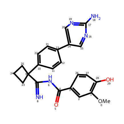 COc1cc(C(=O)NC(=N)C2(c3ccc(-c4cnc(N)nc4)cc3)CCC2)ccc1O